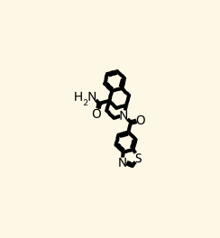 NC(=O)C12CCN(C(=O)c3ccc4ncsc4c3)C(Cc3ccccc31)C2